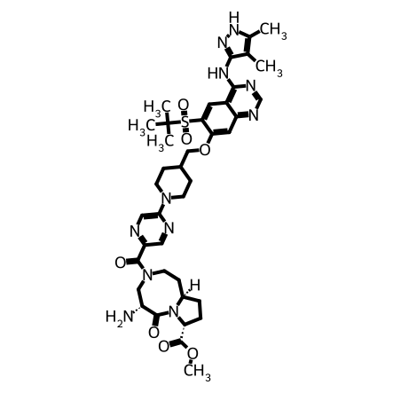 COC(=O)[C@H]1CC[C@@H]2CCN(C(=O)c3cnc(N4CCC(COc5cc6ncnc(Nc7n[nH]c(C)c7C)c6cc5S(=O)(=O)C(C)(C)C)CC4)cn3)C[C@@H](N)C(=O)N21